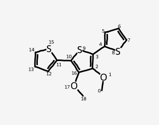 COc1c(-c2[c]ccs2)sc(-c2cccs2)c1OC